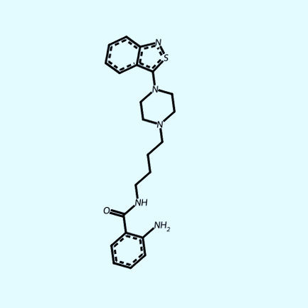 Nc1ccccc1C(=O)NCCCCN1CCN(c2snc3ccccc23)CC1